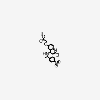 CCOC(=O)COc1ccc2nc(Cl)cc(NC(C)c3ccc([N+](=O)[O-])cc3)c2c1